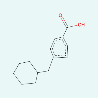 O=C(O)c1ccc(CC2CCCCC2)cc1